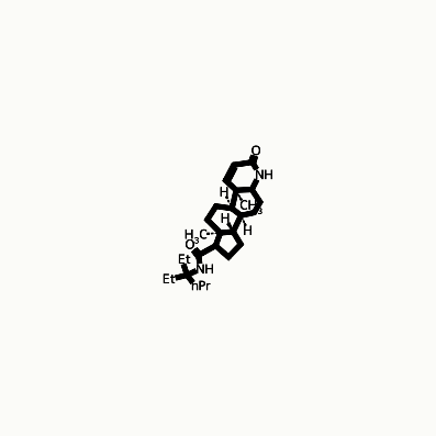 CCCC(CC)(CC)NC(=O)C1CC[C@H]2[C@@H]3CCC4NC(=O)C=C[C@]4(C)[C@@H]3CC[C@]12C